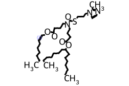 CCCCCC/C=C\COC(=O)CCCN(CCCC(=O)OC(CCCCCCC)CCCCCCC)C(=O)SCCCn1ccnc1C